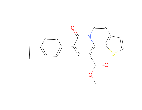 COC(=O)c1cc(-c2ccc(C(C)(C)C)cc2)c(=O)n2ccc3ccsc3c12